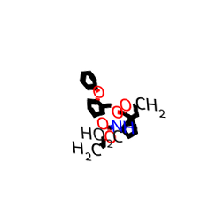 C=CCOC(=O)NC1(C(=O)O)CCC2C1C2(CC=C)C(=O)OCc1ccccc1Oc1ccccc1